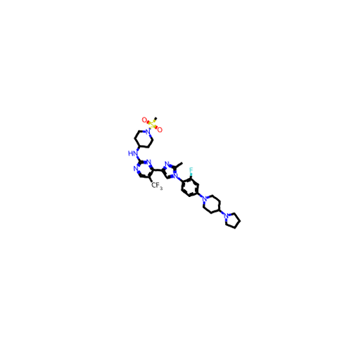 Cc1nc(-c2nc(NC3CCN(S(C)(=O)=O)CC3)ncc2C(F)(F)F)cn1-c1ccc(N2CCC(N3CCCC3)CC2)cc1F